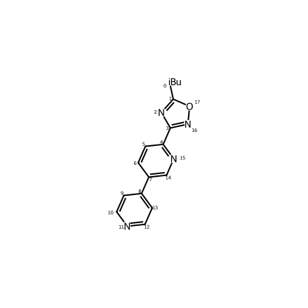 CCC(C)c1nc(-c2ccc(-c3ccncc3)cn2)no1